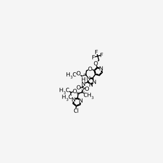 COC[C@H]1COc2c(ccnc2OCC(F)(F)F)-c2nnc(NS(=O)(=O)[C@@H](C)[C@@H](OC(C)C)c3ncc(Cl)cn3)n21